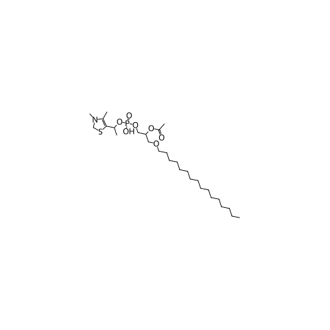 CCCCCCCCCCCCCCCCOCC(COP(=O)(O)OC(C)C1=C(C)N(C)CS1)OC(C)=O